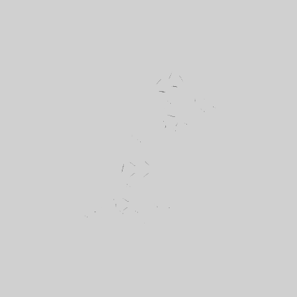 C[C@@H]1C[C@@H](N(C)c2nc(OC[C@@H]3CC(c4ccc(Cl)c5c(N6CCc7c(nc(OCC89CCCN8CCC9)nc7N(C)[C@@H]7CCN(C#N)C7)C6)cccc45)CN3C)nc3c2CCN(c2cccc4cccc(Cl)c24)C3)CN1C#N